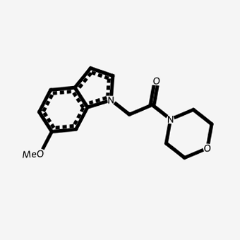 COc1ccc2ccn(CC(=O)N3CCOCC3)c2c1